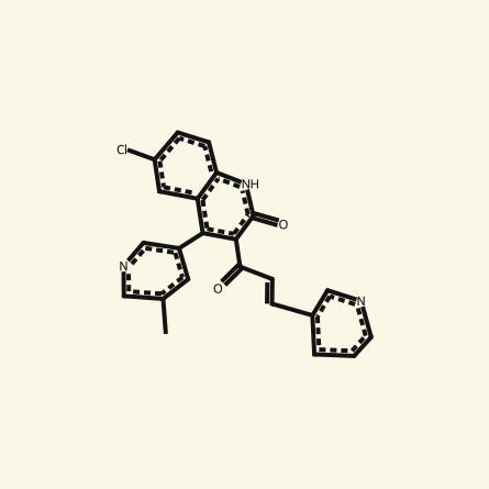 Cc1cncc(-c2c(C(=O)/C=C/c3cccnc3)c(=O)[nH]c3ccc(Cl)cc23)c1